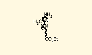 CCOC(=O)CCCCc1nc(-c2ncc(N)cc2C)no1